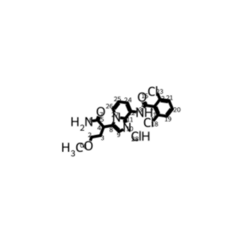 COCCC(C(N)=O)c1cnc2c(NC(=O)c3c(Cl)cccc3Cl)cccn12.Cl